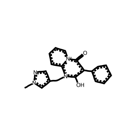 Cn1cc(Cn2c(O)c(-c3ccccc3)c(=O)[n+]3ccccc23)cn1